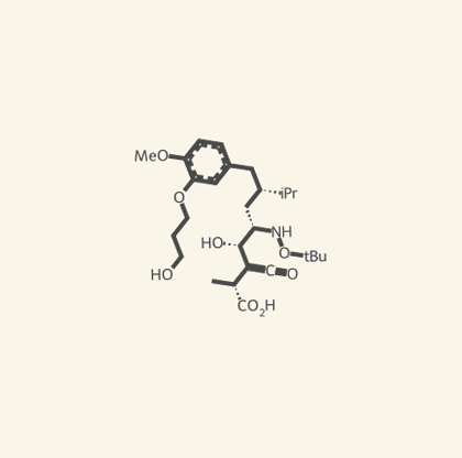 COc1ccc(C[C@@H](C[C@H](NOC(C)(C)C)[C@@H](O)C(=C=O)[C@@H](C)C(=O)O)C(C)C)cc1OCCCO